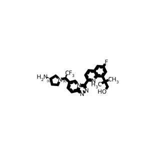 CC(C)(CO)c1cc(F)cc2ccc(-c3nnc4ccc([C@@H](N5CC[C@H](N)C5)C(F)(F)F)cn34)nc12